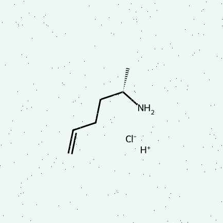 C=CCC[C@H](C)N.[Cl-].[H+]